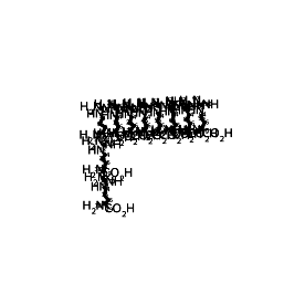 N=C(N)NCCC[C@H](N)C(=O)O.N=C(N)NCCC[C@H](N)C(=O)O.N=C(N)NCCC[C@H](N)C(=O)O.N=C(N)NCCC[C@H](N)C(=O)O.N=C(N)NCCC[C@H](N)C(=O)O.N=C(N)NCCC[C@H](N)C(=O)O.N=C(N)NCCC[C@H](N)C(=O)O.N=C(N)NCCC[C@H](N)C(=O)O.N=C(N)NCCC[C@H](N)C(=O)O.N=C(N)NCCC[C@H](N)C(=O)O